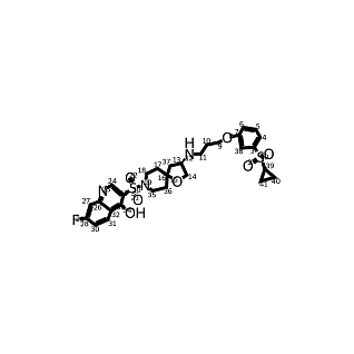 O=S(=O)(c1cccc(OCCCN[C@H]2COC3(CCN(S(=O)(=O)c4cnc5cc(F)ccc5c4O)CC3)C2)c1)C1CC1